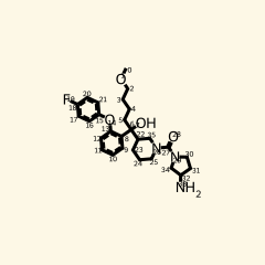 COCCCCC(O)(c1ccccc1Oc1ccc(F)cc1)C1CCCN(C(=O)N2CCC(N)C2)C1